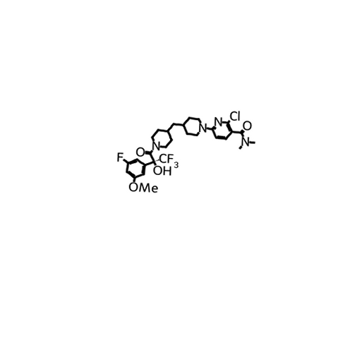 COc1cc(F)cc([C@](O)(C(=O)N2CCC(CC3CCN(c4ccc(C(=O)N(C)C)c(Cl)n4)CC3)CC2)C(F)(F)F)c1